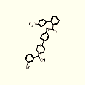 N#CC(c1cccc(Br)c1)N1CCN(c2ccc(NC(=O)c3ccccc3-c3ccc(C(F)(F)F)cc3)cc2)CC1